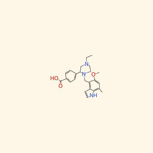 CCN1CCN(Cc2c(OC)cc(C)c3[nH]ccc23)C(c2ccc(C(=O)O)cc2)C1